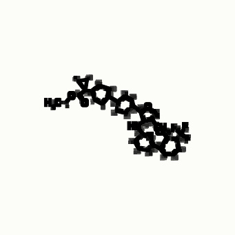 CCOC(=O)C1(c2ccc(-c3ccc(-c4onc(C)c4Nc4cccc(-c5cccc(C(F)(F)F)c5Cl)n4)cc3)cc2)CC1